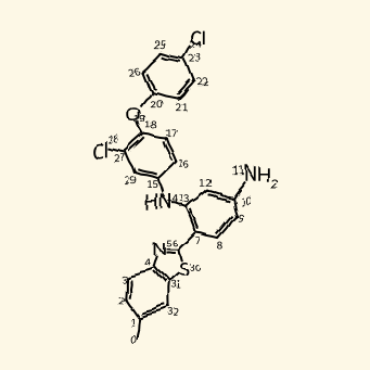 Cc1ccc2nc(-c3ccc(N)cc3Nc3ccc(Oc4ccc(Cl)cc4)c(Cl)c3)sc2c1